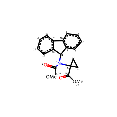 COC(=O)N(C1c2ccccc2-c2ccccc21)C1(C(=O)OC)CC1